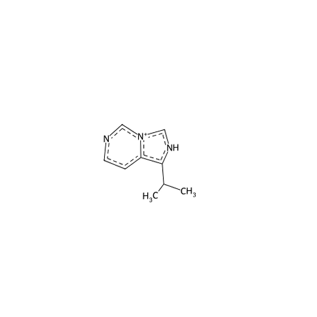 CC(C)c1[nH]c[n+]2cnccc12